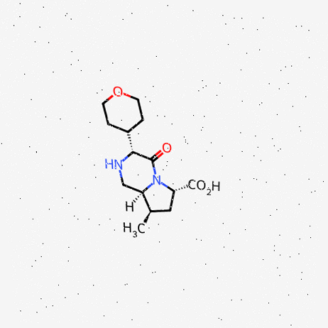 C[C@@H]1C[C@@H](C(=O)O)N2C(=O)[C@@H](C3CCOCC3)NC[C@H]12